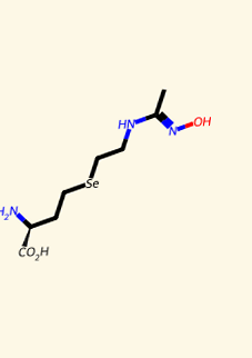 CC(=NO)NCC[Se]CC[C@H](N)C(=O)O